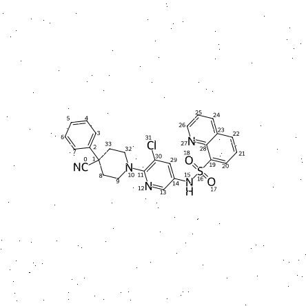 N#CC1(c2ccccc2)CCN(c2ncc(NS(=O)(=O)c3cccc4cccnc34)cc2Cl)CC1